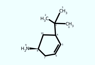 CC(C)(C)C1C=CC[C@@H](N)C1